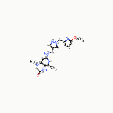 COc1cccc(Cn2cc(CNc3cc4c(c(C)n3)NC(=O)CN4C)cn2)n1